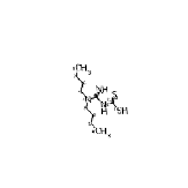 CCCCN(CCCC)C(=N)NC(=S)S